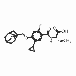 CC[C@H](NC(=O)c1cc(C2CC2)c(OCC23CC4CC(CC2C4)C3)cc1F)C(=O)O